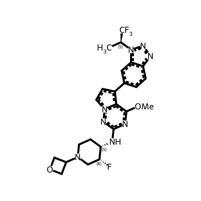 COc1nc(N[C@H]2CCN(C3COC3)C[C@H]2F)nn2ccc(-c3ccc4nnn([C@@H](C)C(F)(F)F)c4c3)c12